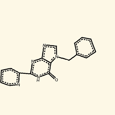 O=c1[nH]c(-c2ccccn2)nc2ncn(Cc3ccccc3)c12